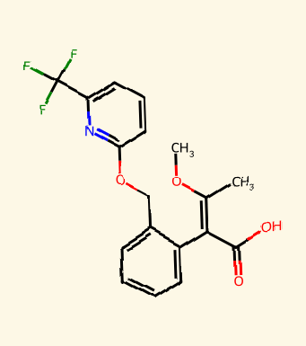 CO/C(C)=C(/C(=O)O)c1ccccc1COc1cccc(C(F)(F)F)n1